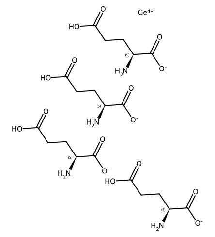 N[C@@H](CCC(=O)O)C(=O)[O-].N[C@@H](CCC(=O)O)C(=O)[O-].N[C@@H](CCC(=O)O)C(=O)[O-].N[C@@H](CCC(=O)O)C(=O)[O-].[Ge+4]